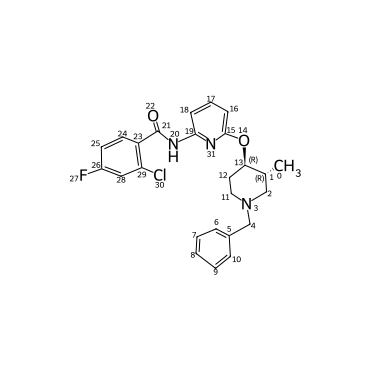 C[C@@H]1CN(Cc2ccccc2)CC[C@H]1Oc1cccc(NC(=O)c2ccc(F)cc2Cl)n1